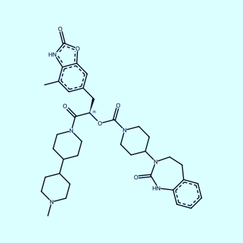 Cc1cc(C[C@@H](OC(=O)N2CCC(N3CCc4ccccc4NC3=O)CC2)C(=O)N2CCC(C3CCN(C)CC3)CC2)cc2oc(=O)[nH]c12